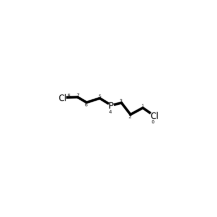 ClCCC[P]CCCCl